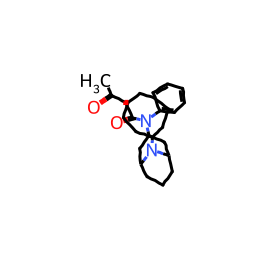 CC(=O)CC(=O)N(c1ccccc1)C1CC2CCCC(C1)N2C1CCCCCCC1